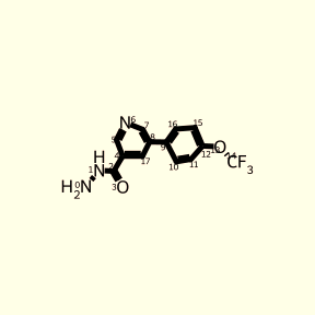 NNC(=O)c1cncc(-c2ccc(OC(F)(F)F)cc2)c1